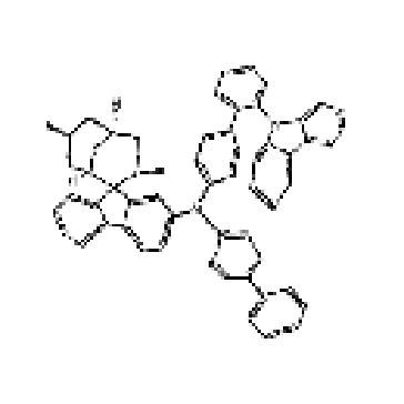 C[C@H]1C[C@@H]2C[C@H](C1)C1(c3ccccc3-c3ccc(N(c4ccc(-c5ccccc5)cc4)c4ccc(-c5ccccc5-n5c6ccccc6c6ccccc65)cc4)cc31)[C@H](C)C2